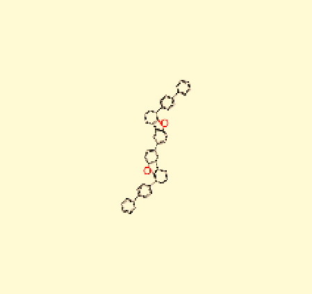 c1ccc(-c2ccc(-c3cccc4c3oc3ccc(-c5ccc6oc7c(-c8ccc(-c9ccccc9)cc8)cccc7c6c5)cc34)cc2)cc1